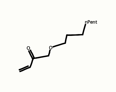 C=CC(=O)COCCCCCCCC